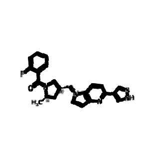 C[C@H]1C[C@@H](Cn2ccc3nc(-c4cn[nH]c4)ccc32)CN1C(=O)c1ccccc1F